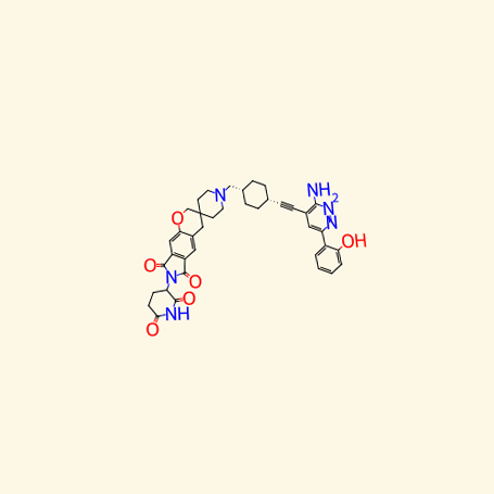 Nc1nnc(-c2ccccc2O)cc1C#C[C@H]1CC[C@@H](CN2CCC3(CC2)COc2cc4c(cc2C3)C(=O)N(C2CCC(=O)NC2=O)C4=O)CC1